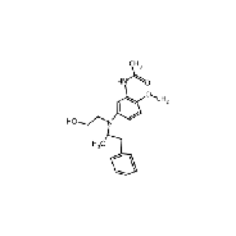 COc1ccc(N(CCO)C(C)Cc2ccccc2)cc1NC(C)=O